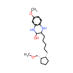 COC[C@H]1CCC[C@H]1CCCCCC1Nc2ccc(OC)cc2NC1O